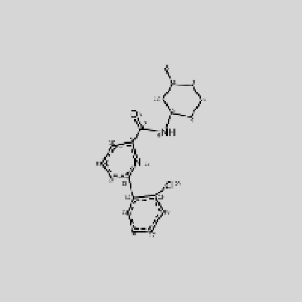 CC1CCCC(NC(=O)c2cccc(-c3ccccc3Cl)n2)C1